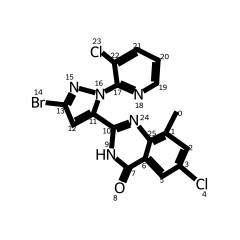 Cc1cc(Cl)cc2c(=O)[nH]c(-c3cc(Br)nn3-c3ncccc3Cl)nc12